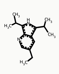 CCc1cnc2c(C(C)C)[nH]c(C(C)C)c2c1